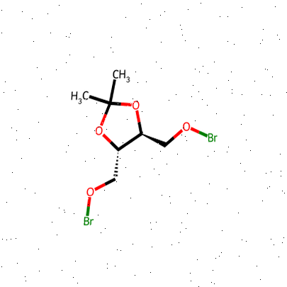 CC1(C)O[C@@H](COBr)[C@H](COBr)O1